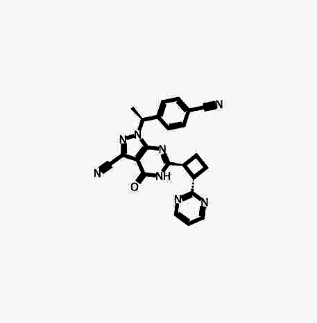 C[C@@H](c1ccc(C#N)cc1)n1nc(C#N)c2c(=O)[nH]c([C@H]3CC[C@@H]3c3ncccn3)nc21